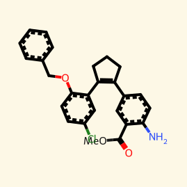 COC(=O)c1cc(C2=C(c3cc(Cl)ccc3OCc3ccccc3)CCC2)ccc1N